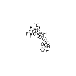 CC(C)COC(=O)C[C@H](NC(=O)C1(F)CCN(C(=O)C(=O)Nc2ccccc2C(C)(C)C)CC1)C(=O)COc1c(F)c(F)cc(F)c1F